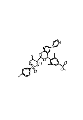 COC(=O)c1cc(C)c(C(OC(=O)[C@@H](NS(=O)(=O)c2ccc(C)cc2)C(C)C)c2cc(-n3ccnc3)ccc2C)c(C)c1